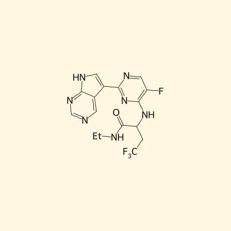 CCNC(=O)C(CC(F)(F)F)Nc1nc(-c2c[nH]c3ncncc23)ncc1F